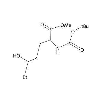 CCC(O)CCC(NC(=O)OC(C)(C)C)C(=O)OC